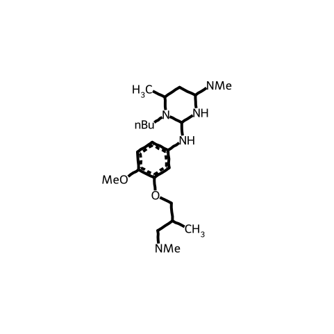 CCCCN1C(C)CC(NC)NC1Nc1ccc(OC)c(OCC(C)CNC)c1